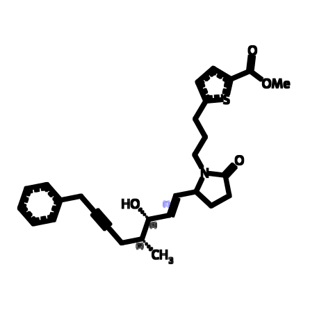 COC(=O)c1ccc(CCCN2C(=O)CCC2/C=C/[C@@H](O)[C@H](C)CC#CCc2ccccc2)s1